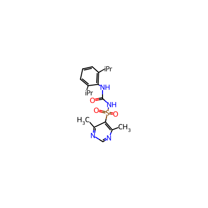 Cc1ncnc(C)c1S(=O)(=O)NC(=O)Nc1c(C(C)C)cccc1C(C)C